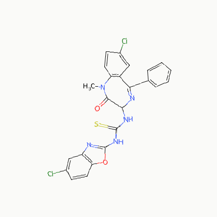 CN1C(=O)C(NC(=S)Nc2nc3cc(Cl)ccc3o2)N=C(c2ccccc2)c2cc(Cl)ccc21